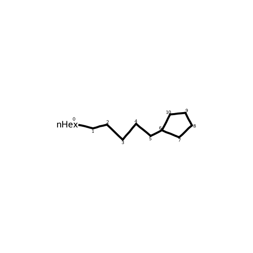 CCCCCCCCCCCC1CCCC1